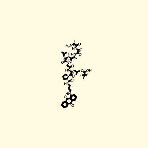 CC(C)C[C@H](NC(=O)[C@H](C)NC(=O)[C@H](C)NC(=O)[C@@H](C)N)C(=O)NCC(=O)N[C@@H](CC(C)C)C(=O)N1CCC[C@H]1C(=O)NCCCNc1cccc2c1C(=O)c1ccccc1C2=O.O=C(O)C(F)(F)F